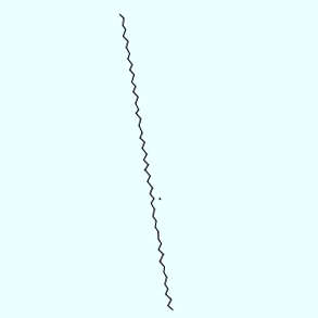 CCCCCCCCCCCCCCCCCCCC[CH]CCCCCCCCCCCCCCCCCCCCCCCCCCCCCCCCC